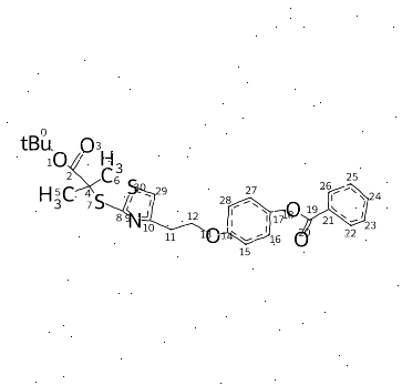 CC(C)(C)OC(=O)C(C)(C)Sc1nc(CCOc2ccc(OC(=O)c3ccccc3)cc2)cs1